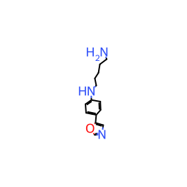 NCCCCCNc1ccc(-c2cnco2)cc1